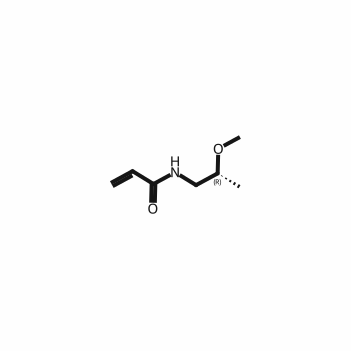 C=CC(=O)NC[C@@H](C)OC